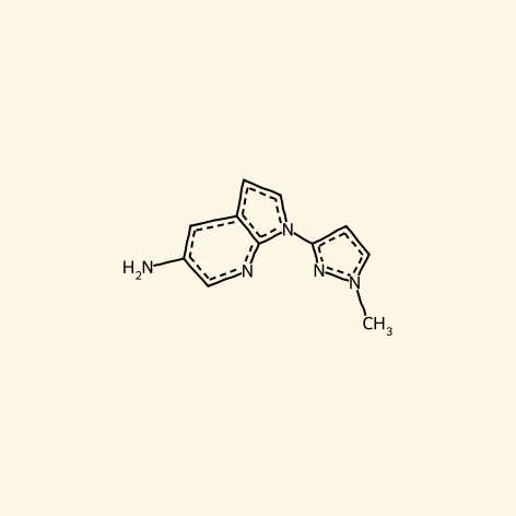 Cn1ccc(-n2ccc3cc(N)cnc32)n1